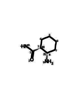 [NH]C(=O)[C@@H]1CCCC[C@@H]1N